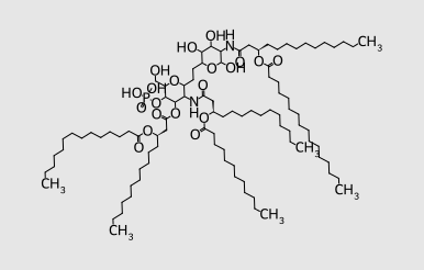 CCCCCCCCCCCCCCCC(=O)O[C@H](CCCCCCCCCCC)CC(=O)NC1C(O)OC(CCC2OC(CO)C(OP(=O)(O)O)C(OC(=O)C[C@@H](CCCCCCCCCCC)OC(=O)CCCCCCCCCCCCC)C2NC(=O)C[C@@H](CCCCCCCCCCC)OC(=O)CCCCCCCCCCC)C(O)C1O